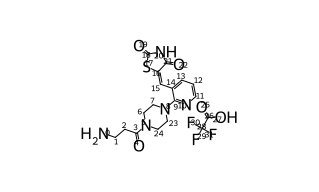 NCCC(=O)N1CCN(c2ncccc2C=C2SC(=O)NC2=O)CC1.O=C(O)C(F)(F)F